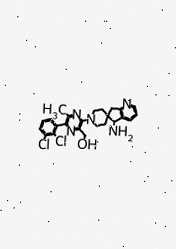 Cc1nc(N2CCC3(CC2)Cc2ncccc2[C@H]3N)c(CO)nc1-c1cccc(Cl)c1Cl